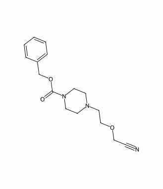 N#CCOCCN1CCN(C(=O)OCc2ccccc2)CC1